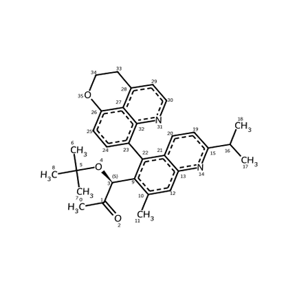 CC(=O)[C@@H](OC(C)(C)C)c1c(C)cc2nc(C(C)C)ccc2c1-c1ccc2c3c(ccnc13)CCO2